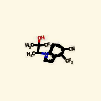 CC(n1ccc2c(C(F)(F)F)c(C#N)ccc21)C(C)(O)C(F)(F)F